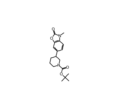 Cn1c(=O)oc2cc(C3CCCN(C(=O)OC(C)(C)C)C3)ccc21